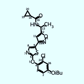 CC(C)COc1ccc(Oc2ncc(-c3cc(C(C)NC(=O)C4CC4)on3)s2)c(Cl)c1